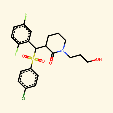 O=C1C(C(c2cc(F)ccc2F)S(=O)(=O)c2ccc(Cl)cc2)CCCN1CCCO